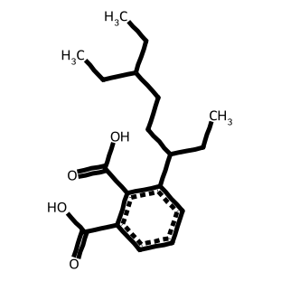 CCC(CC)CCC(CC)c1cccc(C(=O)O)c1C(=O)O